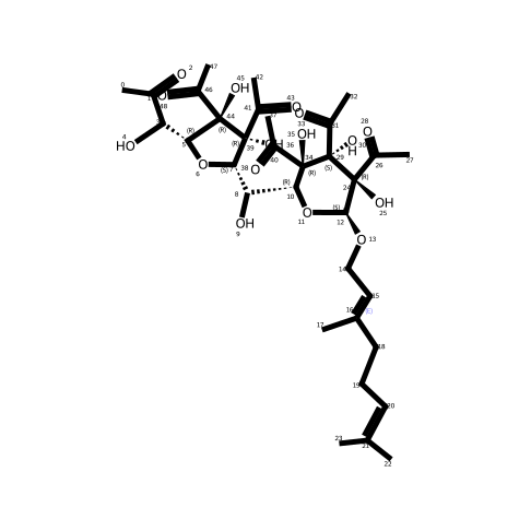 CC(=O)C(O)[C@H]1O[C@@H](C(O)[C@H]2O[C@H](OC/C=C(\C)CCC=C(C)C)[C@@](O)(C(C)=O)[C@](O)(C(C)=O)[C@@]2(O)C(C)=O)[C@](O)(C(C)=O)[C@@]1(O)C(C)=O